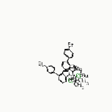 CCc1ccc(-c2cccc3c2C=C(CC(C)(C)C)[CH]3[Zr]([Cl])([Cl])([CH]2C(CC(C)(C)C)=Cc3c(-c4ccc(CC)cc4)cccc32)[SiH](C)C)cc1